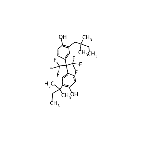 CCC(C)(C)Cc1cc(C(c2ccc(O)c(C(C)(C)CC)c2)(C(F)(F)F)C(F)(F)F)ccc1O